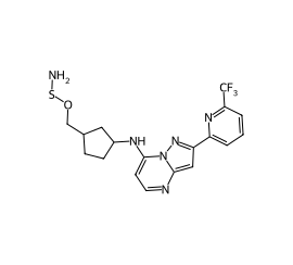 NSOCC1CCC(Nc2ccnc3cc(-c4cccc(C(F)(F)F)n4)nn23)C1